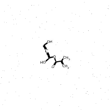 C=C(C)C(=O)OC(O)=C=CO